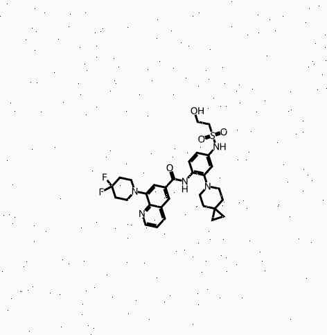 O=C(Nc1ccc(NS(=O)(=O)CCO)cc1N1CCC2(CC1)CC2)c1cc(N2CCC(F)(F)CC2)c2ncccc2c1